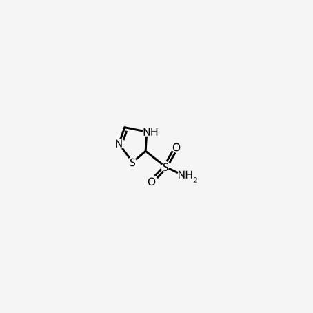 NS(=O)(=O)C1NC=NS1